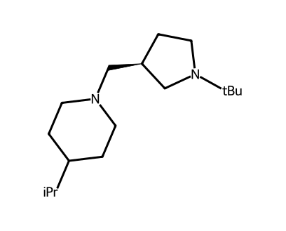 CC(C)C1CCN(C[C@H]2CCN(C(C)(C)C)C2)CC1